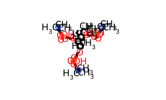 CCC[C@@H](C)[C@H]1CC[C@H]2[C@@H]3[C@H](OCCOP(=O)(O)OCC[N+](C)(C)C)C[C@@H]4C[C@H](OCCOP(=O)(O)OCC[N+](C)(C)C)CC[C@]4(C)[C@H]3C[C@H](OCCOP(=O)(O)OCC[N+](C)(C)C)[C@]12C